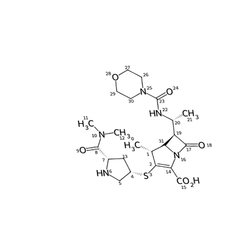 C[C@H]1C(S[C@@H]2CN[C@H](C(=O)N(C)C)C2)=C(C(=O)O)N2C(=O)[C@H]([C@@H](C)NC(=O)N3CCOCC3)C12